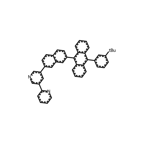 CC(C)(C)c1cccc(-c2c3ccccc3c(-c3ccc4ccc(-c5cncc(-c6ccccn6)c5)cc4c3)c3ccccc23)c1